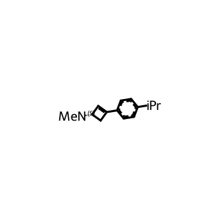 CN[C@@H]1C=C(c2ccc(C(C)C)cc2)C1